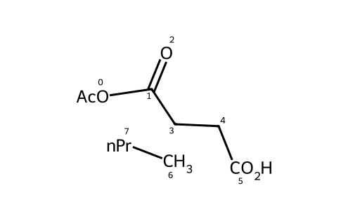 CC(=O)OC(=O)CCC(=O)O.CCCC